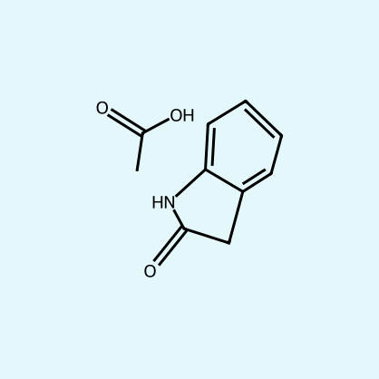 CC(=O)O.O=C1Cc2ccccc2N1